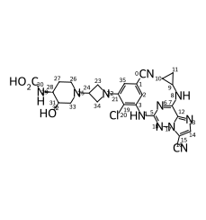 N#Cc1cc(Nc2nc(NC3CC3)c3ncc(C#N)n3n2)c(Cl)c(N2CC(N3CC[C@H](NC(=O)O)[C@H](O)C3)C2)c1